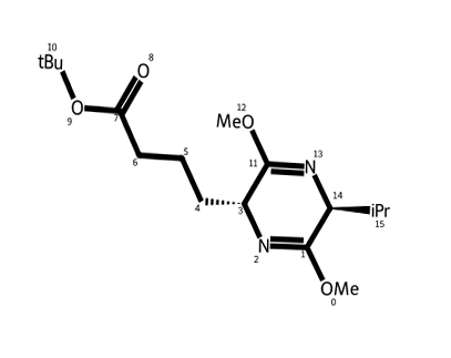 COC1=N[C@H](CCCC(=O)OC(C)(C)C)C(OC)=N[C@H]1C(C)C